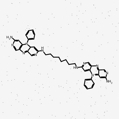 Nc1cc2c(cn1)N=C1C=NC(NCCCCCCCCNc3cc4c(cn3)nc3cnc(N)cc3[n+]4-c3ccccc3)=CC1N2c1ccccc1